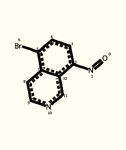 O=Nc1ccc(Br)c2ccncc12